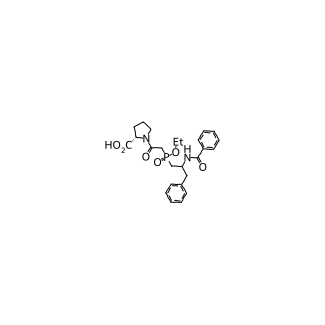 CCOP(=O)(CC(=O)N1CCC[C@H]1C(=O)O)CC(Cc1ccccc1)NC(=O)c1ccccc1